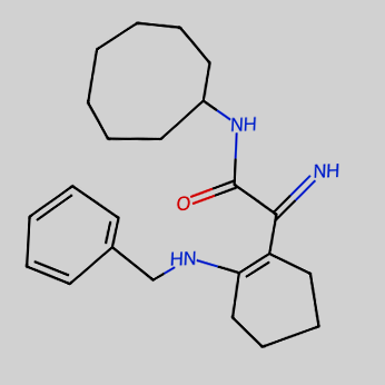 N=C(C(=O)NC1CCCCCCC1)C1=C(NCc2ccccc2)CCCC1